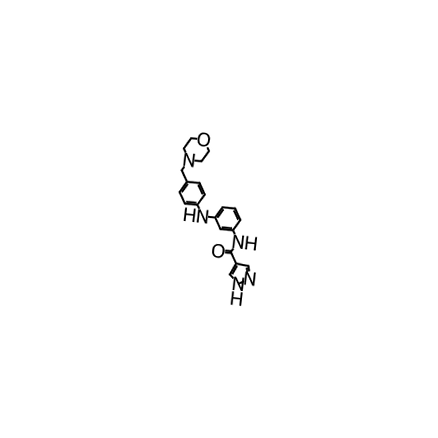 O=C(Nc1cccc(Nc2ccc(CN3CCOCC3)cc2)c1)c1cn[nH]c1